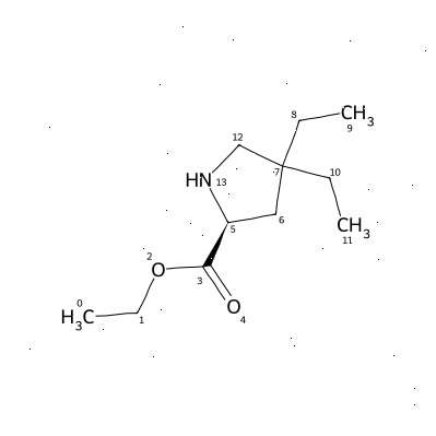 CCOC(=O)[C@@H]1CC(CC)(CC)CN1